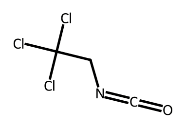 O=C=NCC(Cl)(Cl)Cl